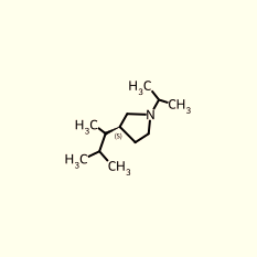 CC(C)C(C)[C@@H]1CCN(C(C)C)C1